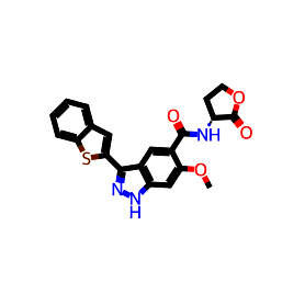 COc1cc2[nH]nc(-c3cc4ccccc4s3)c2cc1C(=O)N[C@@H]1CCOC1=O